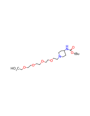 CC(C)(C)OC(=O)NC1CCN(CCOCCOCCOCCOCC(=O)O)CC1